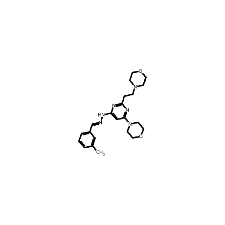 Cc1cccc(C=NNc2cc(N3CCOCC3)nc(CCN3CCOCC3)n2)c1